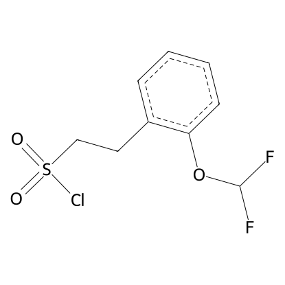 O=S(=O)(Cl)CCc1ccccc1OC(F)F